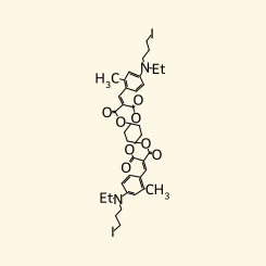 CCN(CCCI)c1ccc(C=C2C(=O)OC3(CCC4(CC3)OC(=O)C(=Cc3ccc(N(CC)CCCI)cc3C)C(=O)O4)OC2=O)c(C)c1